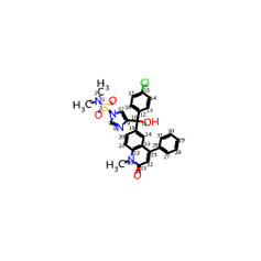 CN(C)S(=O)(=O)n1cnc(C(O)(c2ccc(Cl)cc2)c2ccc3c(c2)c(-c2ccccc2)cc(=O)n3C)c1